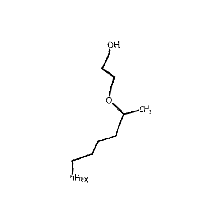 CCCCCCCCCCC(C)OCCO